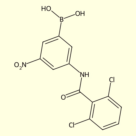 O=C(Nc1cc(B(O)O)cc([N+](=O)[O-])c1)c1c(Cl)cccc1Cl